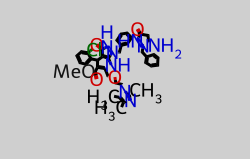 COC(=O)C1=C(COCCn2c(C)nc(C)c2C)Nc2c(c(=O)[nH]n2Cc2ccccc2)C1c1ccccc1Cl.NC1CC(=O)NN1Cc1ccccc1